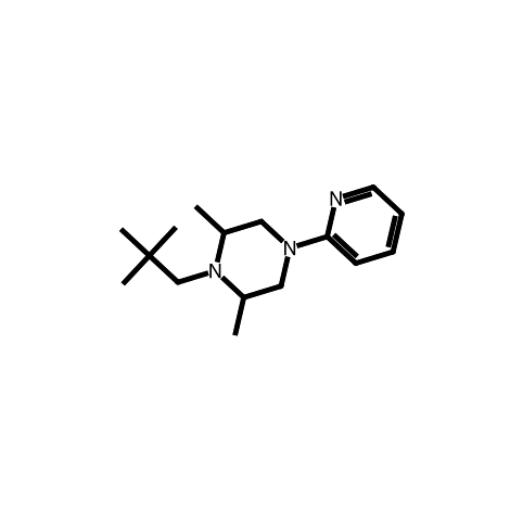 CC1CN(c2ccccn2)CC(C)N1CC(C)(C)C